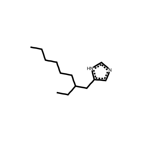 CCCCCCC(CC)Cc1cnc[nH]1